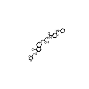 O=C(NCC(O)CN1CCc2c(ccc(OCc3cnco3)c2Cl)C1)c1ccnc(NC2CCCC2)c1